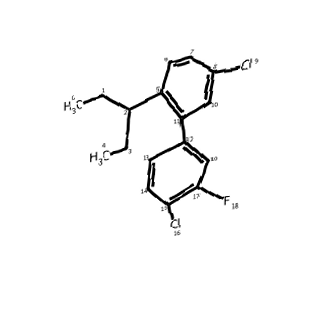 CCC(CC)c1ccc(Cl)cc1-c1ccc(Cl)c(F)c1